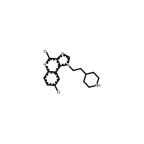 Clc1ccc2nc(Cl)c3ncn(CCC4CCNCC4)c3c2c1